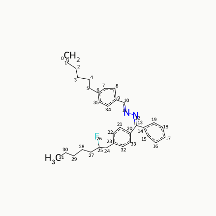 C=CCCCCc1ccc(C=NN=C(c2ccccc2)c2ccc(CC(F)CCCCC)cc2)cc1